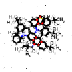 C=CC(C)(C)[C@@H](C)N(c1ccc(C(C)(C)C)cc1)c1cc2c3c(c1)N1c4c(cc(C(C)(C)C)cc4C4(C)CCCCC14C)B3c1ccc3sc4cc(C(C)(C)C)ccc4c3c1N2c1c(-c2ccccc2)cc(C(C)(C)C)cc1-c1ccccc1